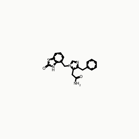 NC(=O)Cc1c(Cc2ccccc2)ncn1Cc1cccc2sc(=O)[nH]c12